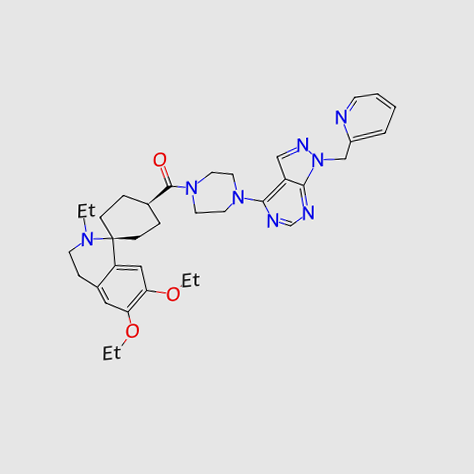 CCOc1cc2c(cc1OCC)[C@]1(CC[C@H](C(=O)N3CCN(c4ncnc5c4cnn5Cc4ccccn4)CC3)CC1)N(CC)CC2